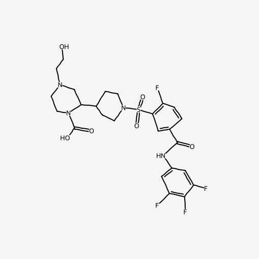 O=C(Nc1cc(F)c(F)c(F)c1)c1ccc(F)c(S(=O)(=O)N2CCC(C3CN(CCO)CCN3C(=O)O)CC2)c1